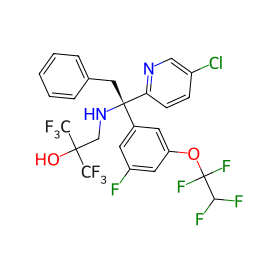 OC(CN[C@@](Cc1ccccc1)(c1cc(F)cc(OC(F)(F)C(F)F)c1)c1ccc(Cl)cn1)(C(F)(F)F)C(F)(F)F